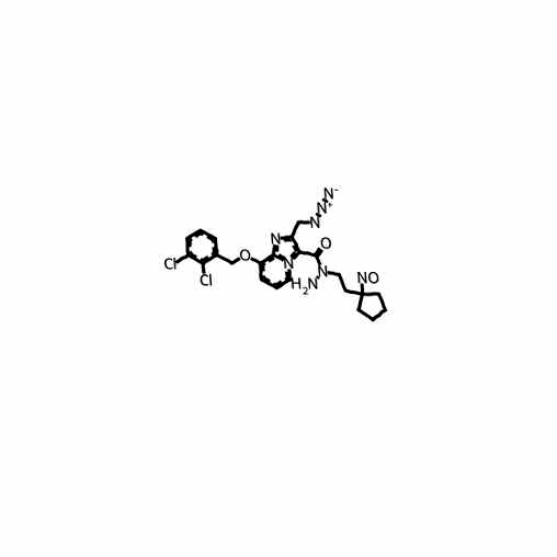 [N-]=[N+]=NCc1nc2c(OCc3cccc(Cl)c3Cl)cccn2c1C(=O)N(N)CCC1(N=O)CCCC1